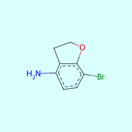 Nc1ccc(Br)c2c1CCO2